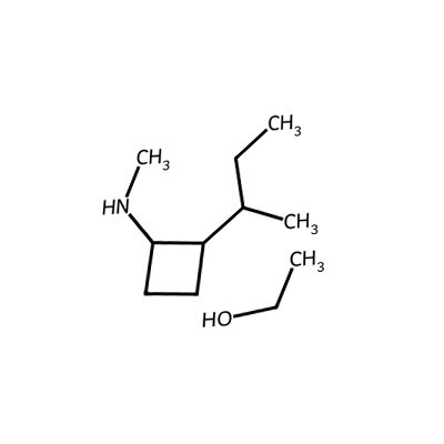 CCC(C)C1CCC1NC.CCO